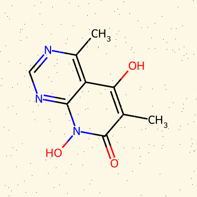 Cc1c(O)c2c(C)ncnc2n(O)c1=O